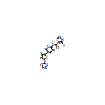 Cc1cc(-c2nnco2)sc1-c1ccc(NC(=O)c2snnc2C)nc1